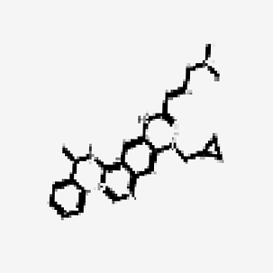 CC(Nc1ncnc2cc(OCC3CC3)c(NC(=O)C=CCN(C)C)cc12)c1ccccc1